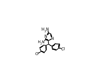 Nc1cnc(C(c2ccc(Cl)cc2)c2ccc(Cl)cc2)c(N)n1